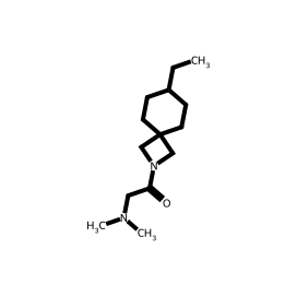 CCC1CCC2(CC1)CN(C(=O)CN(C)C)C2